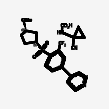 CO[C@H]1CC[C@H](S(=O)(=O)c2ccc(-c3ccnnc3)cc2C(F)(F)F)C1.N#CC1(NC(=O)O)CC1